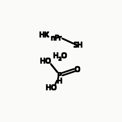 CCCS.O.O=[PH](O)O.[KH]